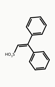 O=S(=O)(O)C=C(c1ccccc1)c1ccccc1